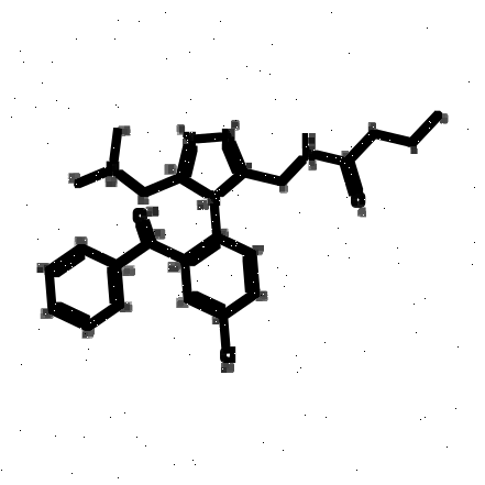 CCCC(=O)NCc1nnc(CN(C)C)n1-c1ccc(Cl)cc1C(=O)c1ccccc1